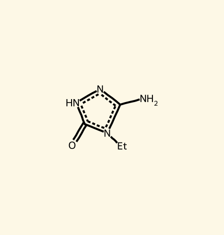 CCn1c(N)n[nH]c1=O